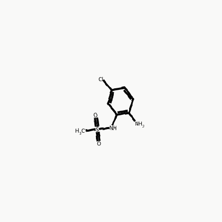 CS(=O)(=O)Nc1cc(Cl)ccc1N